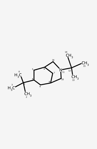 CC(C)(C)C1CC2CC(C1)CN(C(C)(C)C)C2